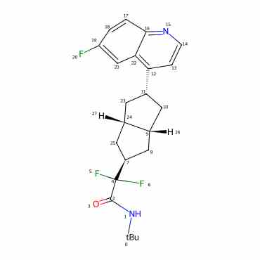 CC(C)(C)NC(=O)C(F)(F)[C@@H]1C[C@H]2C[C@@H](c3ccnc4ccc(F)cc34)C[C@H]2C1